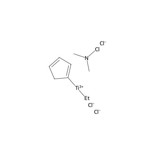 CN(C)Cl.C[CH2][Ti+3][C]1=CC=CC1.[Cl-].[Cl-].[Cl-]